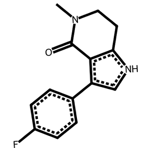 CN1CCc2[nH]cc(-c3ccc(F)cc3)c2C1=O